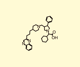 O=C(O)C(C1CCCCC1)N1CC(CN2CCC(CCCc3cnc4ccccc4n3)CC2)C(c2ccccc2)C1